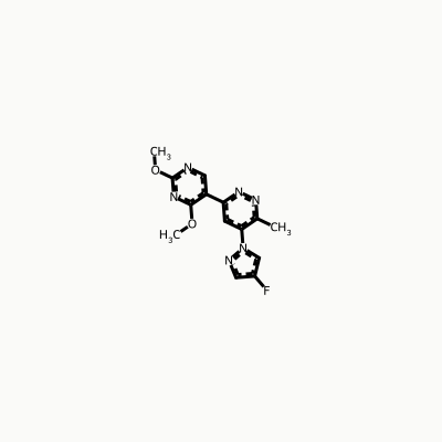 COc1ncc(-c2cc(-n3cc(F)cn3)c(C)nn2)c(OC)n1